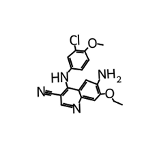 CCOc1cc2ncc(C#N)c(Nc3ccc(OC)c(Cl)c3)c2cc1N